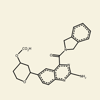 Nc1nc(C(=O)N2Cc3ccccc3C2)c2cc(C3CC(OC(=O)O)CCO3)ccc2n1